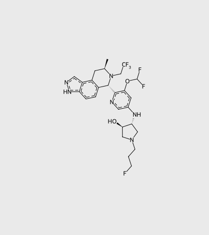 C[C@@H]1Cc2c(ccc3[nH]ncc23)[C@@H](c2ncc(N[C@@H]3CN(CCCF)C[C@H]3O)cc2OC(F)F)N1CC(F)(F)F